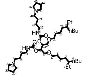 CCCCC(CC)CCCCOCC(OC(=O)NCCCCN1CCCC1)C(COCCCCC(CC)CCCC)OC(=O)NCCCCN1CCCC1